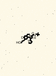 COc1cc2c(cc1CCCO)-c1c(-c3cccs3)cc(C(=O)NCC(C)(C)C)n1CC2